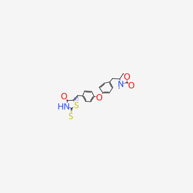 CN1C(=O)OCC1Cc1ccc(Oc2ccc(/C=C3\SC(=S)NC3=O)cc2)cc1